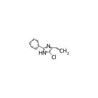 C=Cc1nc(-c2ccccc2)[nH]c1Cl